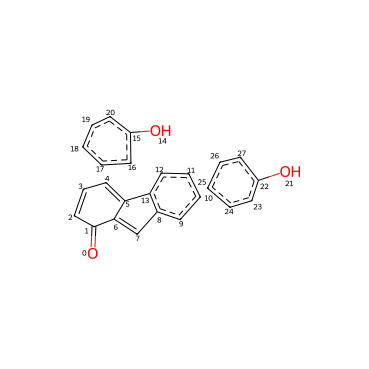 O=C1C=CC=C2C1=Cc1ccccc12.Oc1ccccc1.Oc1ccccc1